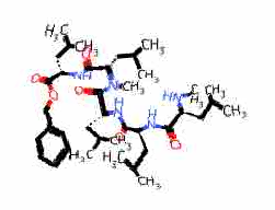 CN[C@@H](CC(C)C)C(=O)N[C@@H](CC(C)C)C(=O)N[C@H](CC(C)C)C(=O)N(C)[C@@H](CC(C)C)C(=O)N[C@@H](CC(C)C)C(=O)OCc1ccccc1